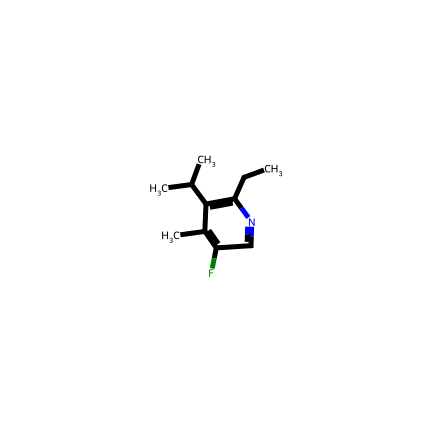 CCc1ncc(F)c(C)c1C(C)C